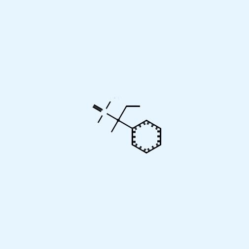 CCCC(CC(F)(F)F)(c1ccccc1)P(=O)(O)O